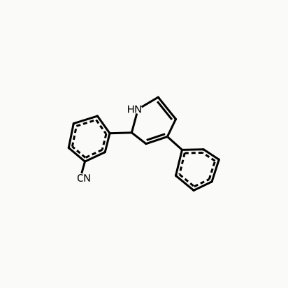 N#Cc1cccc(C2C=C(c3ccccc3)C=CN2)c1